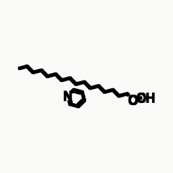 CCCCCCCCCCCCCCCCOO.c1ccncc1